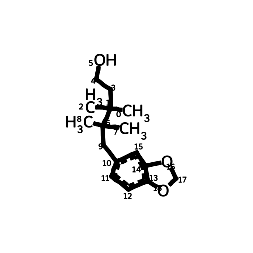 CC(C)(CCO)C(C)(C)Cc1ccc2c(c1)OCO2